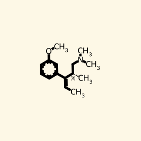 CC=C(c1cccc(OC)c1)[C@@H](C)CN(C)C